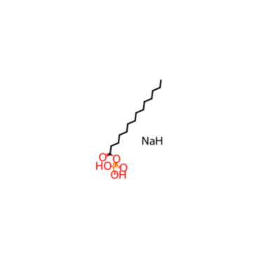 CCCCCCCCCCCCCC(=O)OP(=O)(O)O.[NaH]